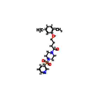 Cc1ccc(C)c(OCCCC(=O)N2CCN(S(=O)(=O)c3cccnc3)CC2)c1